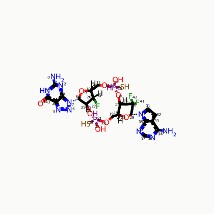 Nc1nc2c(nnn2[C@@H]2O[C@@H]3CO[PH](O)(S)O[C@@H]4[C@@H](CO[PH](O)(S)O[C@@H]2[C@H]3F)O[C@@H](n2ccc3c(N)ncnc32)C4(F)F)c(=O)[nH]1